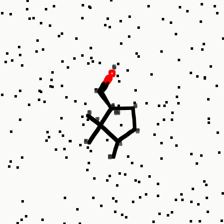 CC1CC[C@H](C=O)C1(C)C